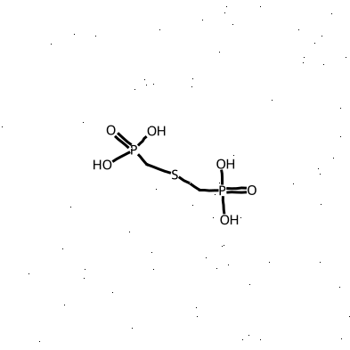 O=P(O)(O)CSCP(=O)(O)O